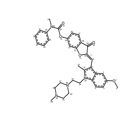 COc1ccc2c(c1)c(/C=C1\Oc3cc(OC(=O)N(C)c4ccccc4)ccc3C1=O)c(C)n2CCN1CCN(C)CC1